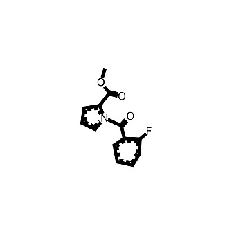 COC(=O)c1cccn1C(=O)c1ccccc1F